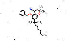 CCCCCCC(C)(C)c1cc(OCc2ccccc2)c2c(c1)OC(C)(C)CC2C#N